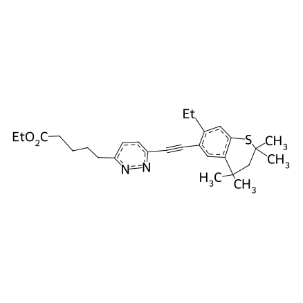 CCOC(=O)CCCCc1ccc(C#Cc2cc3c(cc2CC)SC(C)(C)CC3(C)C)nn1